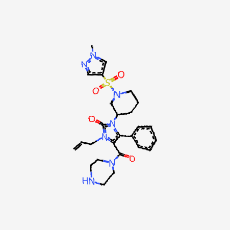 C=CCn1c(C(=O)N2CCNCC2)c(-c2ccccc2)n(C2CCCN(S(=O)(=O)c3cnn(C)c3)C2)c1=O